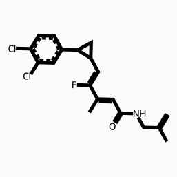 C=C(C)CNC(=O)C=C(C)C(F)=CC1CC1c1ccc(Cl)c(Cl)c1